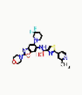 Cc1cc(-c2nc(C(O)Nc3cc4oc(N5CCOCC5)nc4cc3N3CCCC(F)(F)C3)cs2)ccn1